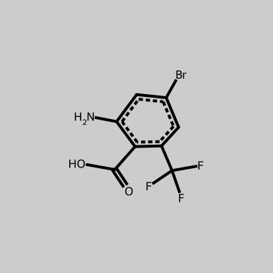 Nc1cc(Br)cc(C(F)(F)F)c1C(=O)O